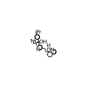 CC(C)c1ccc([C@](O)(c2cncc(CCC3(O)CCCc4cccnc43)c2)C2(C)CN(C)C2)cc1